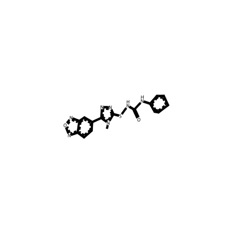 Cn1c(SNC(=O)Nc2ccccc2)nnc1-c1ccc2nonc2c1